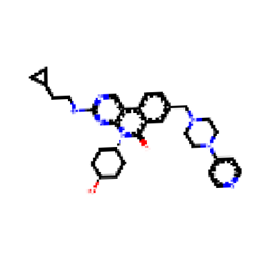 O=c1c2cc(CN3CCN(c4ccncc4)CC3)ccc2c2cnc(NCCC3CC3)nc2n1[C@H]1CC[C@H](O)CC1